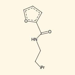 CC(C)CCNC(=O)c1ccco1